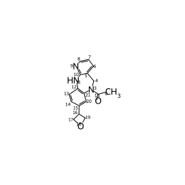 CC(=O)N1Cc2cccnc2Nc2ccc(C3COC3)cc21